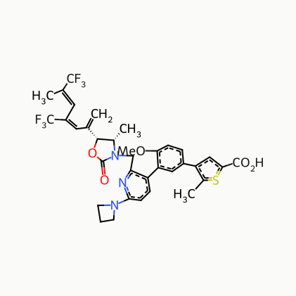 C=C(/C=C(\C=C(/C)C(F)(F)F)C(F)(F)F)[C@H]1OC(=O)N(Cc2nc(N3CCC3)ccc2-c2cc(-c3cc(C(=O)O)sc3C)ccc2OC)[C@H]1C